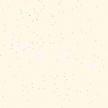 COc1c(N2CCC(C(N)C(F)F)C2)c(F)c(C)n2c(=O)n(N)c(=O)c(C3CC3)c12